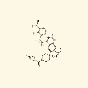 Cc1nc(N[C@H](C)c2cccc(C(F)F)c2F)c2cc(C3(O)CCN(C(=O)C4CN(C)C4)CC3)c3c(c2n1)CCO3